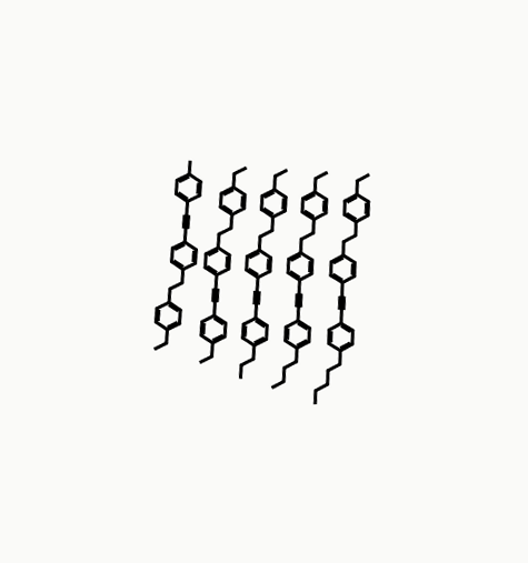 CCCCCc1ccc(C#Cc2ccc(CCc3ccc(CC)cc3)cc2)cc1.CCCCc1ccc(C#Cc2ccc(CCc3ccc(CC)cc3)cc2)cc1.CCCc1ccc(C#Cc2ccc(CCc3ccc(CC)cc3)cc2)cc1.CCc1ccc(C#Cc2ccc(CCc3ccc(CC)cc3)cc2)cc1.CCc1ccc(CCc2ccc(C#Cc3ccc(C)cc3)cc2)cc1